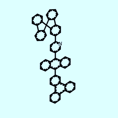 c1ccc2c(c1)-c1ccccc1C21c2ccccc2-c2ccc(-c3ccc(-c4c5ccccc5c(-c5ccc6c7ccccc7c7ccccc7c6c5)c5ccccc45)cn3)cc21